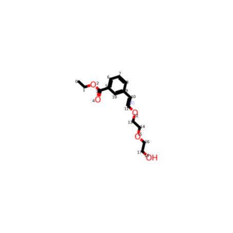 CCOC(=O)c1cccc(/C=C/OCCOCCO)c1